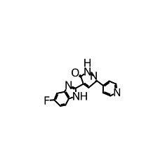 O=c1[nH]nc(-c2ccncc2)cc1-c1nc2cc(F)ccc2[nH]1